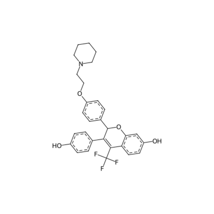 Oc1ccc(C2=C(C(F)(F)F)c3ccc(O)cc3OC2c2ccc(OCCN3CCCCC3)cc2)cc1